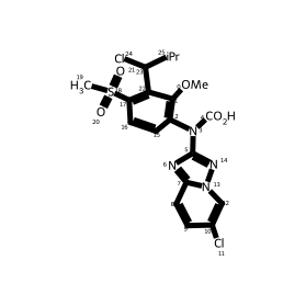 COc1c(N(C(=O)O)c2nc3ccc(Cl)cn3n2)ccc(S(C)(=O)=O)c1C(Cl)C(C)C